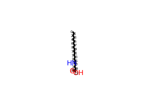 CCCCCCCCCCCCCCCCNCCCC(=O)O